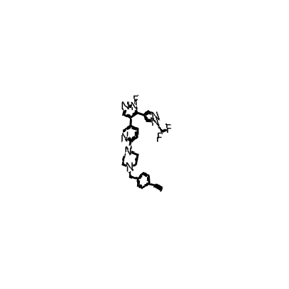 C#Cc1ccc(CN2CCN(c3ccc(-c4cnn(F)c4-c4cnn(C(F)F)c4)cn3)CC2)cc1